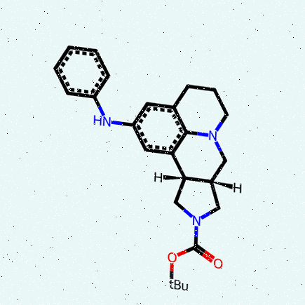 CC(C)(C)OC(=O)N1C[C@H]2CN3CCCc4cc(Nc5ccccc5)cc(c43)[C@H]2C1